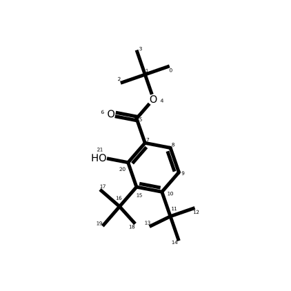 CC(C)(C)OC(=O)c1ccc(C(C)(C)C)c(C(C)(C)C)c1O